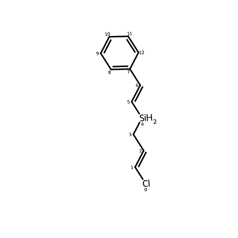 ClC=CC[SiH2]C=Cc1ccccc1